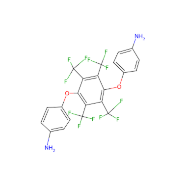 Nc1ccc(Oc2c(C(F)(F)F)c(C(F)(F)F)c(Oc3ccc(N)cc3)c(C(F)(F)F)c2C(F)(F)F)cc1